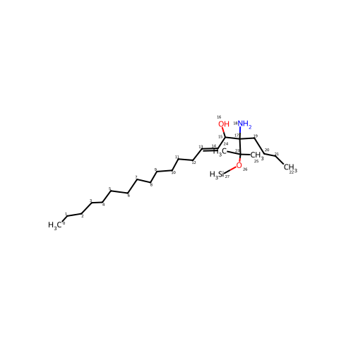 CCCCCCCCCCCCCC=CC(O)C(N)(CCCC)C(C)(C)O[SiH3]